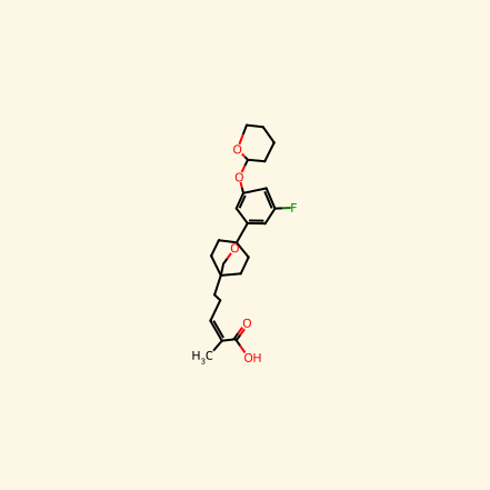 CC(=CCCC12CCC(c3cc(F)cc(OC4CCCCO4)c3)(CC1)OC2)C(=O)O